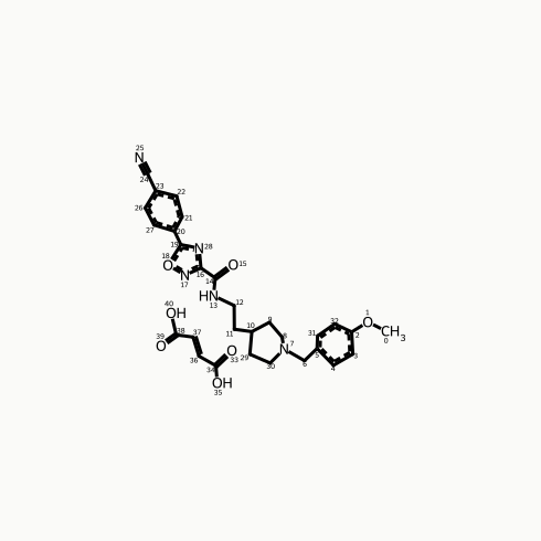 COc1ccc(CN2CCC(CCNC(=O)c3noc(-c4ccc(C#N)cc4)n3)CC2)cc1.O=C(O)/C=C/C(=O)O